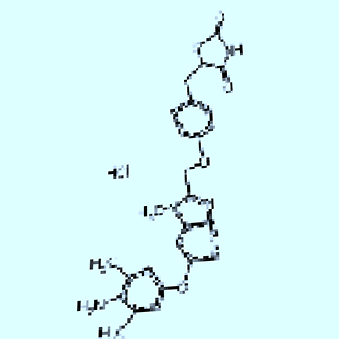 Cc1cc(Oc2ccc3nc(COc4ccc(CC5SC(=O)NC5=O)cc4)n(C)c3c2)cc(C)c1N.Cl